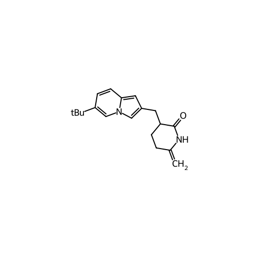 C=C1CCC(Cc2cc3ccc(C(C)(C)C)cn3c2)C(=O)N1